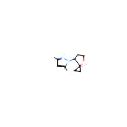 CCOC(=O)c1cc(C(C)(C)C)n(C2CCOC23CC3)n1